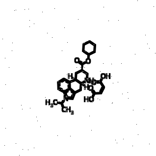 CC(C)n1cc2c3c(cccc31)[C@H]1C[C@@H](C(=O)OC3CCCCC3)CN[C@@H]1C2.O=C(O)/C=C\C(=O)O